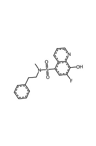 CN(CCc1ccccc1)S(=O)(=O)c1cc(F)c(O)c2ncccc12